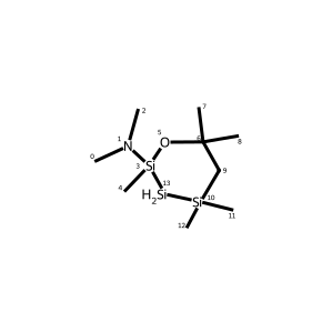 CN(C)[Si]1(C)OC(C)(C)C[Si](C)(C)[SiH2]1